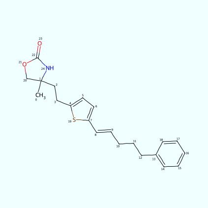 CC1(CCc2ccc(C=CCCCc3ccccc3)s2)COC(=O)N1